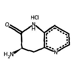 Cl.N[C@@H]1Cc2ncccc2NC1=O